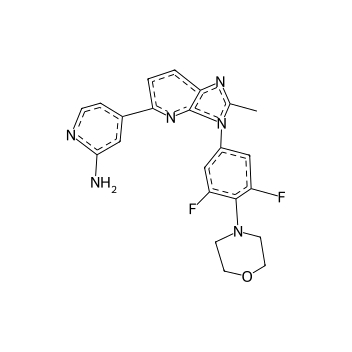 Cc1nc2ccc(-c3ccnc(N)c3)nc2n1-c1cc(F)c(N2CCOCC2)c(F)c1